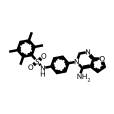 Cc1cc(C)c(C)c(S(=O)(=O)Nc2ccc(N3CN=c4occc4=C3N)cc2)c1C